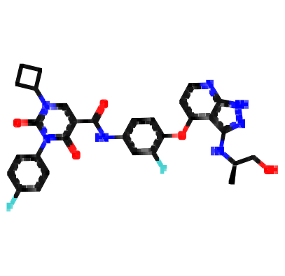 C[C@H](CO)Nc1n[nH]c2nccc(Oc3ccc(NC(=O)c4cn(C5CCC5)c(=O)n(-c5ccc(F)cc5)c4=O)cc3F)c12